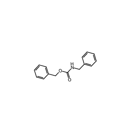 O=C(NCc1ccccc1)OCc1ccccc1